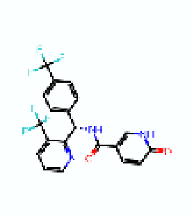 O=C(N[C@@H](c1ccc(C(F)(F)F)cc1)c1ncccc1C(F)(F)F)c1ccc(=O)[nH]c1